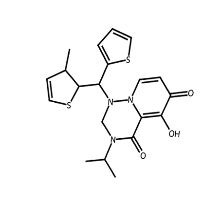 CC1C=CSC1C(c1cccs1)N1CN(C(C)C)C(=O)c2c(O)c(=O)ccn21